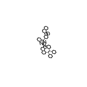 c1ccc(C2=C(c3ccccc3)c3cccc4c3c3c5c2cccc5ccc3n4-c2nc(-c3ccc4oc5c6ccccc6ccc5c4c3)c3ccccc3n2)cc1